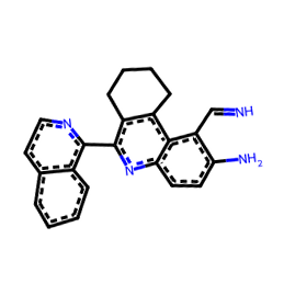 N=Cc1c(N)ccc2nc(-c3nccc4ccccc34)c3c(c12)CCCC3